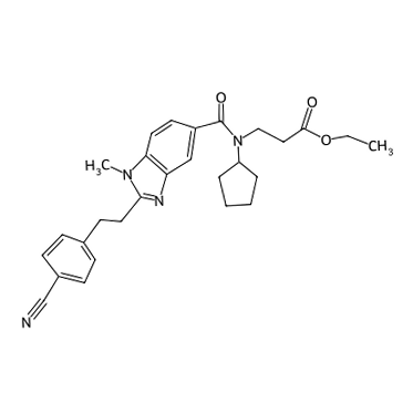 CCOC(=O)CCN(C(=O)c1ccc2c(c1)nc(CCc1ccc(C#N)cc1)n2C)C1CCCC1